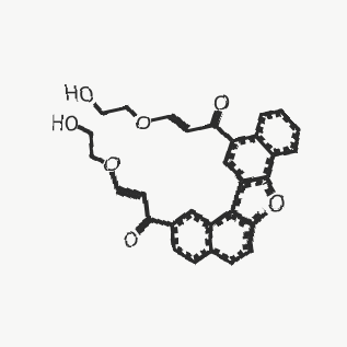 O=C(C=COCCO)c1ccc2ccc3oc4c5ccccc5c(C(=O)C=COCCO)cc4c3c2c1